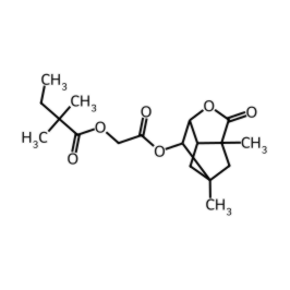 CCC(C)(C)C(=O)OCC(=O)OC1C2OC(=O)C3(C)CC1(C)CC23